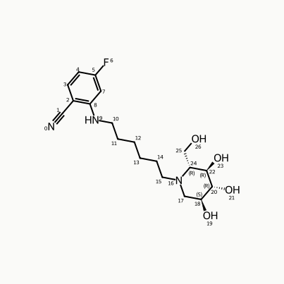 N#Cc1ccc(F)cc1NCCCCCCN1C[C@H](O)[C@@H](O)[C@H](O)[C@H]1CO